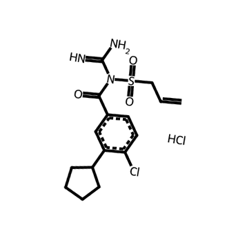 C=CCS(=O)(=O)N(C(=N)N)C(=O)c1ccc(Cl)c(C2CCCC2)c1.Cl